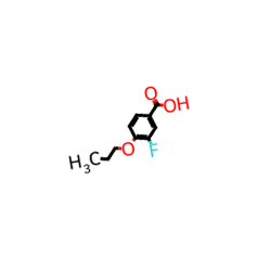 CCCOc1ccc(C(=O)O)cc1F